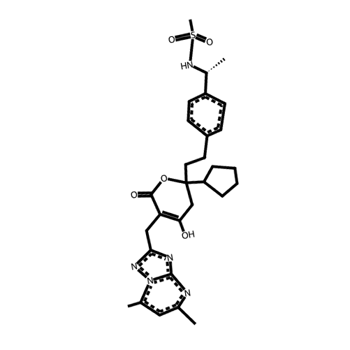 Cc1cc(C)n2nc(CC3=C(O)CC(CCc4ccc([C@@H](C)NS(C)(=O)=O)cc4)(C4CCCC4)OC3=O)nc2n1